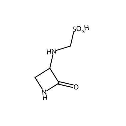 O=C1NCC1NCS(=O)(=O)O